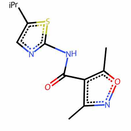 Cc1noc(C)c1C(=O)Nc1ncc(C(C)C)s1